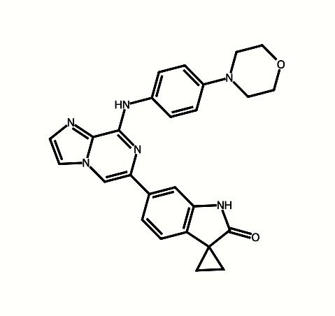 O=C1Nc2cc(-c3cn4ccnc4c(Nc4ccc(N5CCOCC5)cc4)n3)ccc2C12CC2